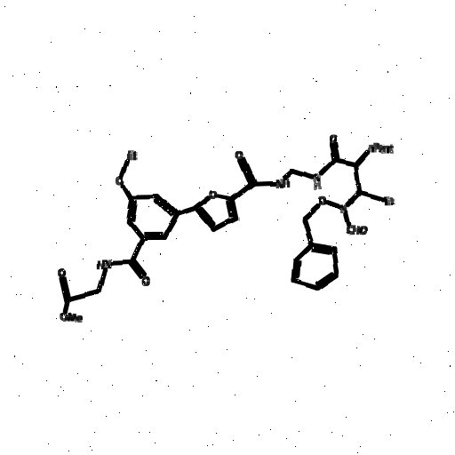 CCCCCC(C(=O)NCNC(=O)c1ccc(-c2cc(OCC)cc(C(=O)NCC(=O)OC)c2)o1)C(CC)N(C=O)OCc1ccccc1